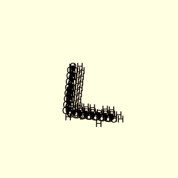 CC(=O)O.O=[PH](O)O.O=[PH](O)O.O=[PH](O)O.O=[PH](O)O.O=[PH](O)O.O=[PH](O)O.O=[PH](O)O.O=[PH](O)O.O=[PH](O)O.O=[PH](O)O.O=[PH](O)O.O=[PH](O)O.O=[PH](O)O.O=[PH](O)O.O=[PH](O)O